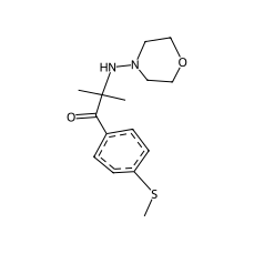 CSc1ccc(C(=O)C(C)(C)NN2CCOCC2)cc1